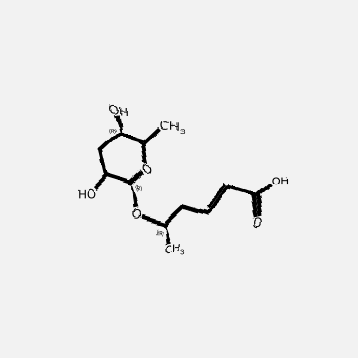 CC1O[C@@H](O[C@H](C)CC=CC(=O)O)C(O)C[C@H]1O